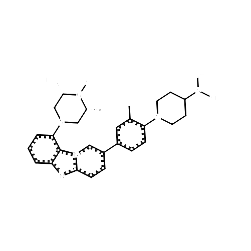 C[C@@H]1CN(c2cccc3nc4ccc(-c5ccc(N6CCC(N(C)C)CC6)c(F)c5)cn4c23)C[C@H](C)N1C